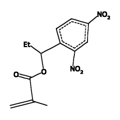 C=C(C)C(=O)OC(CC)c1ccc([N+](=O)[O-])cc1[N+](=O)[O-]